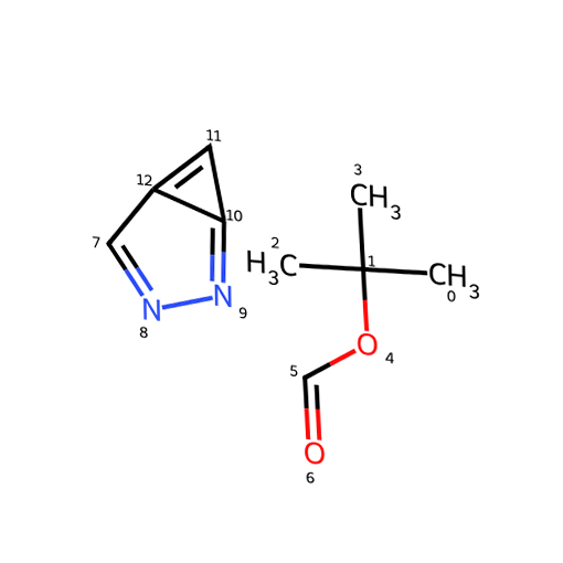 CC(C)(C)OC=O.c1nnc2cc1-2